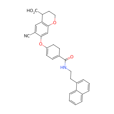 N#Cc1cc2c(cc1OC1=CC=C(C(=O)NCCc3cccc4ccccc34)CC1)OCCC2C(=O)O